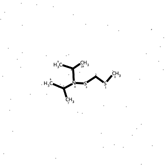 CSCSN(C(C)C)C(C)C